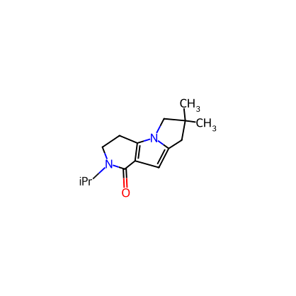 CC(C)N1CCc2c(cc3n2CC(C)(C)C3)C1=O